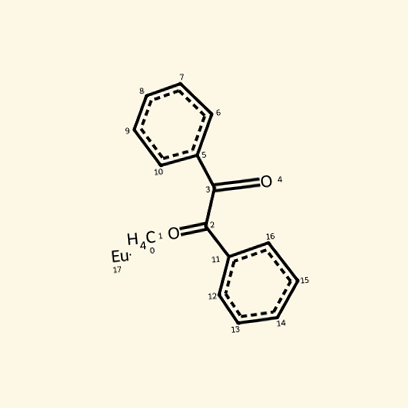 C.O=C(C(=O)c1ccccc1)c1ccccc1.[Eu]